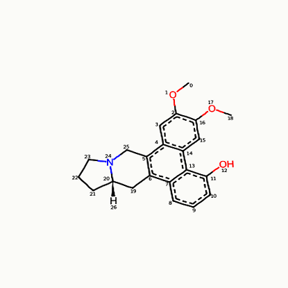 COc1cc2c3c(c4cccc(O)c4c2cc1OC)C[C@@H]1CCCN1C3